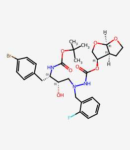 CC(C)(C)OC(=O)N[C@@H](Cc1ccc(Br)cc1)[C@@H](O)CN(Cc1ccccc1F)NC(=O)O[C@H]1CO[C@H]2OCC[C@H]21